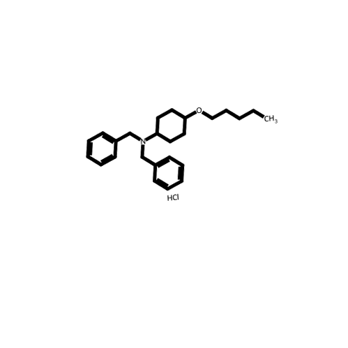 CCCCCOC1CCC(N(Cc2ccccc2)Cc2ccccc2)CC1.Cl